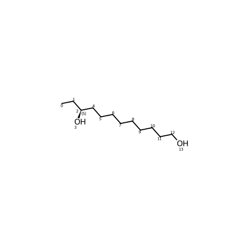 CC[C@H](O)CCCCCCCCCO